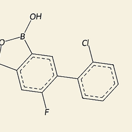 OB1OCc2cc(F)c(-c3ccccc3Cl)cc21